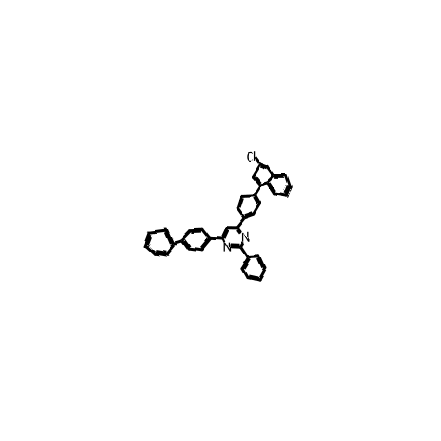 Clc1cc(-c2ccc(-c3cc(-c4ccc(-c5ccccc5)cc4)nc(-c4ccccc4)n3)cc2)c2ccccc2c1